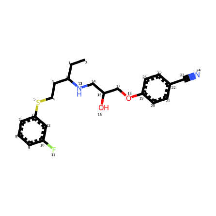 CCC(CCSc1cccc(F)c1)NCC(O)COc1ccc(C#N)cc1